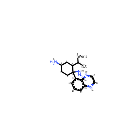 CCCCCC(CC)C1CC(N)CCC1(N)c1cccc2nccnc12